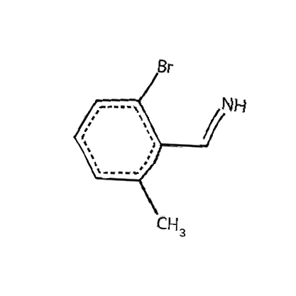 Cc1cccc(Br)c1C=N